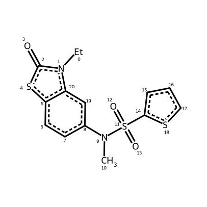 CCn1c(=O)sc2ccc(N(C)S(=O)(=O)c3cccs3)cc21